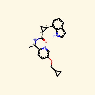 C[C@@H](NC(=O)[C@@H]1C[C@H]1c1cccc2cc[nH]c12)c1ccc(OCC2CC2)cn1